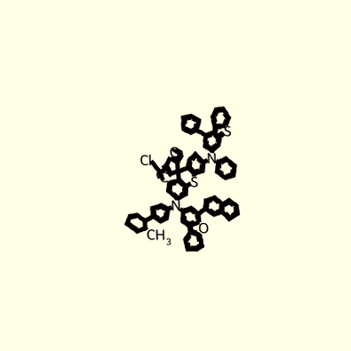 CC1C=CC=CC1c1ccc(N(c2ccc3c(c2)Sc2cc(N(c4ccccc4)c4cc(-c5ccccc5)c5c(c4)sc4ccccc45)ccc2C32c3ccccc3-c3c(Cl)cccc32)c2cc(-c3ccc4ccccc4c3)c3oc4ccccc4c3c2)cc1